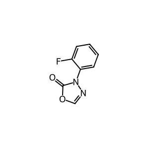 O=c1ocnn1-c1ccccc1F